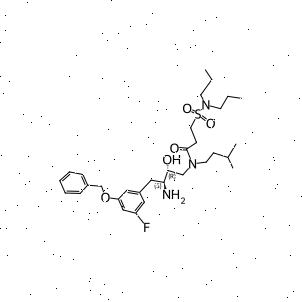 CCCN(CCC)S(=O)(=O)CCC(=O)N(CCC(C)C)C[C@@H](O)[C@@H](N)Cc1cc(F)cc(OCc2ccccc2)c1